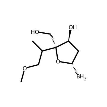 B[C@H]1C[C@H](O)[C@](CO)(C(C)COC)O1